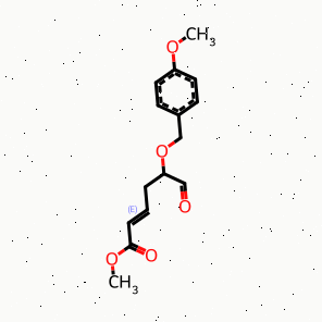 COC(=O)/C=C/CC(C=O)OCc1ccc(OC)cc1